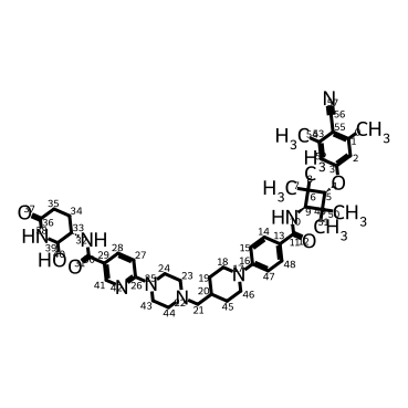 Cc1cc(O[C@H]2C(C)(C)[C@H](NC(=O)c3ccc(N4CCC(CN5CCN(c6ccc(C(=O)N[C@H]7CCC(=O)NC7O)cn6)CC5)CC4)cc3)C2(C)C)cc(C)c1C#N